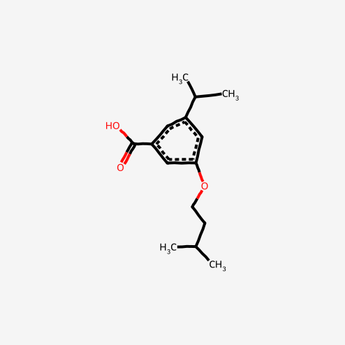 CC(C)CCOc1cc(C(=O)O)cc(C(C)C)c1